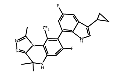 Cc1nnc2n1-c1c(cc(F)c(-c3cc(F)cc4c(C5CC5)c[nH]c34)c1C(F)(F)F)NC2(C)C